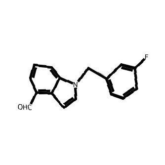 O=Cc1cccc2c1ccn2Cc1cccc(F)c1